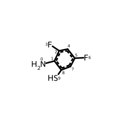 Nc1c(F)cc(F)cc1S